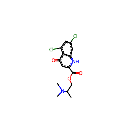 CC(COC(=O)c1cc(=O)c2c(Cl)cc(Cl)cc2[nH]1)N(C)C